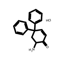 Cl.NC1CC(c2ccccc2)(c2ccccc2)C=CC1=O